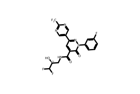 O=C(NC[C@H](O)C(F)F)c1cc(-c2cnc(C(F)(F)F)nc2)nn(-c2cccc(F)c2)c1=O